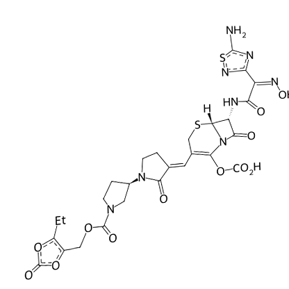 CCc1oc(=O)oc1COC(=O)N1CC[C@@H](N2CC/C(=C\C3=C(OC(=O)O)N4C(=O)[C@@H](NC(=O)/C(=N\O)c5nsc(N)n5)[C@H]4SC3)C2=O)C1